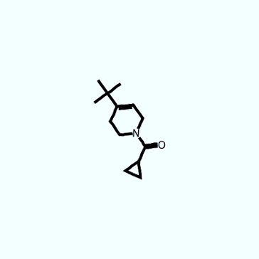 CC(C)(C)C1=CCN(C(=O)C2CC2)CC1